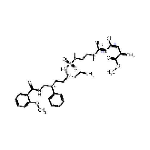 C=C(/C=C(Cl)\N=C(/N)NCCNS(=O)(=O)N[C@H](CCC)CC[C@H](CNC(=O)c1ccccc1OC)c1ccccc1)C(=O)OC